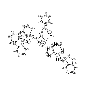 O=C(O[C@H]1[C@H](F)[C@H](n2cnc3c(N[C@H]4CCc5ccccc54)ncnc32)O[C@H]1COC(c1ccccc1)(c1ccccc1)c1ccccc1)c1ccccc1